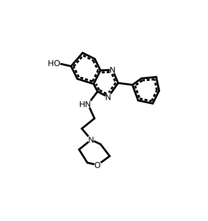 Oc1ccc2nc(-c3ccccc3)nc(NCCN3CCOCC3)c2c1